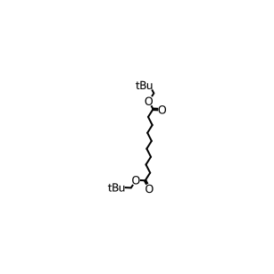 CC(C)(C)COC(=O)CCCCCCCCC(=O)OCC(C)(C)C